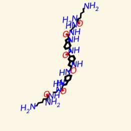 NCCCC[C@H](N)C(=O)NCCNC(=O)c1cc2ccc(NC(=O)c3ccc4[nH]c(C(=O)Nc5ccc6cc(C(=O)NCCNC(=O)[C@@H](N)CCCCN)[nH]c6c5)cc4c3)cc2[nH]1